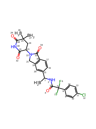 BC(NC(=O)C(F)(F)c1ccc(Cl)cc1)c1ccc2c(c1)CN(C1CC(B)(B)C(=O)NC1=O)C2=O